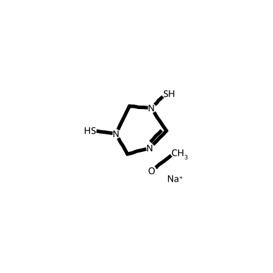 C[O-].SN1C=NCN(S)C1.[Na+]